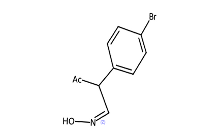 CC(=O)C(/C=N\O)c1ccc(Br)cc1